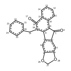 O=C1c2cc3c(cc2-c2c1c1ccccc1c(=O)n2Cc1ccccc1)OCO3